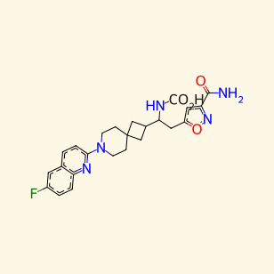 NC(=O)c1cc(CC(NC(=O)O)C2CC3(CCN(c4ccc5cc(F)ccc5n4)CC3)C2)on1